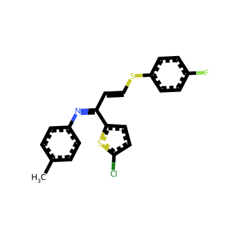 Cc1ccc(N=C(C=CSc2ccc(F)cc2)c2ccc(Cl)s2)cc1